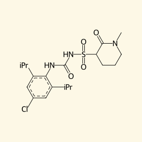 CC(C)c1cc(Cl)cc(C(C)C)c1NC(=O)NS(=O)(=O)C1CCCN(C)C1=O